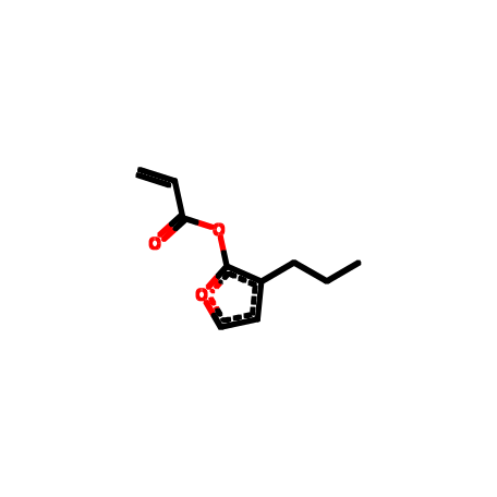 C=CC(=O)Oc1occc1CCC